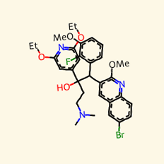 CCOc1cc(C(O)(CCN(C)C)C(c2cc3cc(Br)ccc3nc2OC)c2cccc(OC)c2F)cc(OCC)n1